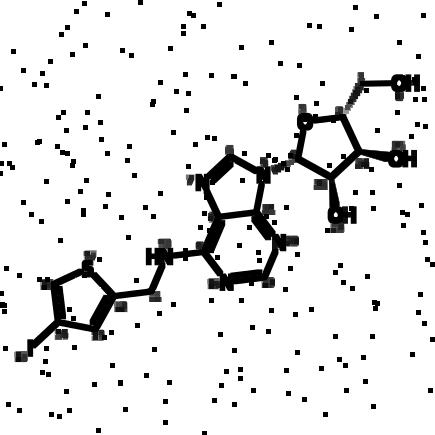 OC[C@H]1O[C@@H](n2cnc3c(NCc4cc(I)cs4)ncnc32)[C@H](O)[C@@H]1O